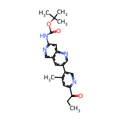 CCC(=O)c1cc(C)c(-c2cnc3cc(NC(=O)OC(C)(C)C)ncc3c2)cn1